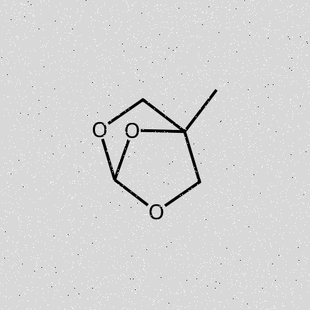 CC12COC(OC1)O2